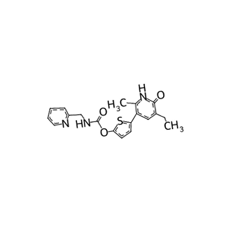 CCc1cc(-c2ccc(OC(=O)NCc3ccccn3)s2)c(C)[nH]c1=O